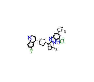 C[C@@H](c1nc2cc(C(F)(F)F)cc(Cl)c2[nH]1)[C@H]1CC[C@@H](c2ccnc3ccc(F)cc32)CC1